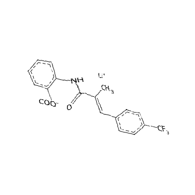 C/C(=C\c1ccc(C(F)(F)F)cc1)C(=O)Nc1ccccc1C(=O)[O-].[Li+]